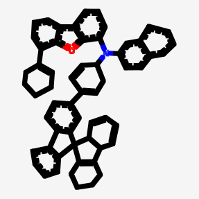 C1=CC2C3=C(CCCC3)C3(c4ccccc4-c4ccc(C5=CCC(N(c6ccc7ccccc7c6)c6cccc7c6oc6c(C8=CCCCC8)cccc67)C=C5)cc43)C2C=C1